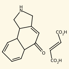 O=C(O)/C=C/C(=O)O.O=C1C=C2CNCC2C2C=CC=CC12